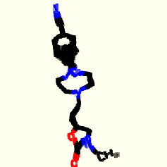 CN1CC(CCN2CCN(c3ccc(C#N)cc3)CC2)OC1=O